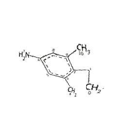 [CH2]Cc1c(C)cc(N)cc1C